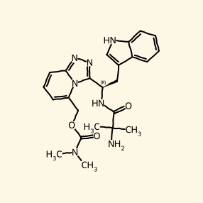 CN(C)C(=O)OCc1cccc2nnc([C@@H](Cc3c[nH]c4ccccc34)NC(=O)C(C)(C)N)n12